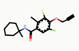 C#CCOc1c(F)cc(C(=O)NC2(C)CCCCC2)c(C)c1F